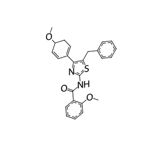 COc1ccccc1C(=O)Nc1nc(C2=CCC(OC)C=C2)c(Cc2ccccc2)s1